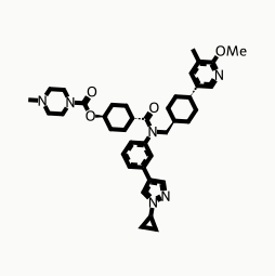 COc1ncc([C@H]2CC[C@H](CN(c3cccc(-c4cnn(C5CC5)c4)c3)C(=O)[C@H]3CC[C@H](OC(=O)N4CCN(C)CC4)CC3)CC2)cc1C